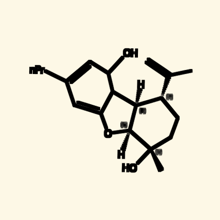 C=C(C)[C@@H]1CC[C@](C)(O)[C@H]2OC3=CC(CCC)=CC(O)C3[C@@H]12